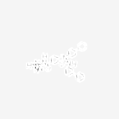 O=C(Nc1nn[nH]n1)c1ccc(CN(C(=O)Nc2cccc(-c3ccccc3)c2)c2ccc(C3CCCCC3)cc2)cc1